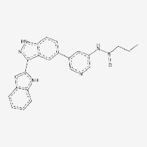 CCCC(=O)Nc1cncc(-c2ccc3[nH]nc(-c4cc5ccccc5[nH]4)c3c2)c1